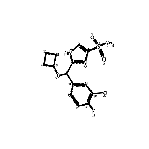 CS(=O)(=O)c1c[nH]c(C(OC2CCC2)c2ccc(F)c(Cl)c2)n1